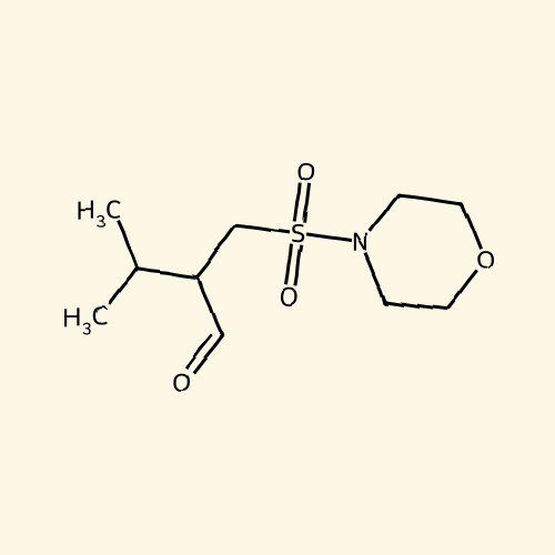 CC(C)C(C=O)CS(=O)(=O)N1CCOCC1